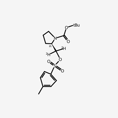 [2H]C([2H])(OS(=O)(=O)c1ccc(C)cc1)[C@H]1CCCN1C(=O)OC(C)(C)C